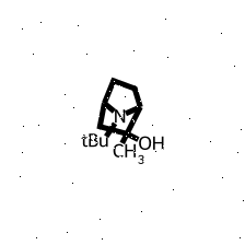 CC1(O)CC2CCC1N2C(C)(C)C